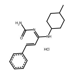 CC1CCC(NC(C=Cc2ccccc2)=NC(N)=O)CC1.Cl